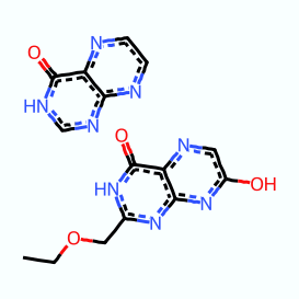 CCOCc1nc2nc(O)cnc2c(=O)[nH]1.O=c1[nH]cnc2nccnc12